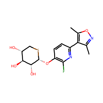 Cc1noc(C)c1-c1ccc(O[C@H]2SC[C@@H](O)[C@H](O)[C@H]2O)c(F)n1